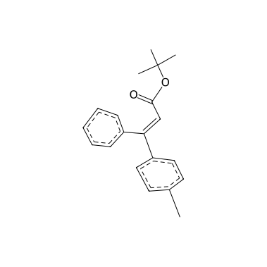 Cc1ccc(/C(=C/C(=O)OC(C)(C)C)c2ccccc2)cc1